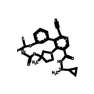 C[C@H](NC(=O)c1cnc(C#N)c(-c2cccc(OC(F)F)c2)c1N1CCC(C)(OC(N)=O)C1)C1CC1